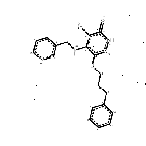 O=c1[nH]nc(OCCCc2ccccc2)c(NCc2cccnc2)c1Br